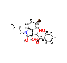 CCCCN1C(=O)C(O)(CC(=O)c2ccccc2O)c2cc(Br)ccc21